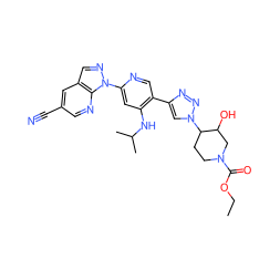 CCOC(=O)N1CCC(n2cc(-c3cnc(-n4ncc5cc(C#N)cnc54)cc3NC(C)C)nn2)C(O)C1